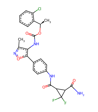 Cc1noc(-c2ccc(NC(=O)C3C(C(N)=O)C3(F)F)cc2)c1NC(=O)O[C@H](C)c1ccccc1Cl